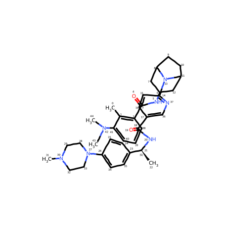 Cc1c(C(=O)NC2CC3CCC(C2)N3c2ccc(C(=O)N[C@@H](C)c3ccc(N4CCN(C)CC4)cc3)cn2)cccc1N(C)C